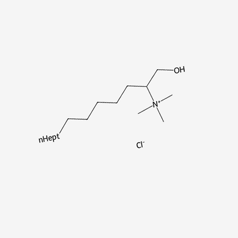 CCCCCCCCCCCCC(CO)[N+](C)(C)C.[Cl-]